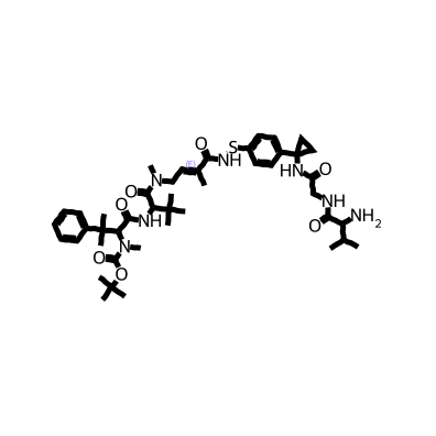 C/C(=C\CN(C)C(=O)C(NC(=O)C(N(C)C(=O)OC(C)(C)C)C(C)(C)c1ccccc1)C(C)(C)C)C(=O)NSc1ccc(C2(NC(=O)CNC(=O)C(N)C(C)C)CC2)cc1